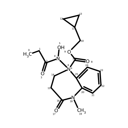 CCC(=O)N(O)[N+]1(C(=O)OCC2CC2)CCC(=O)N(C)c2ccccc21